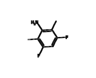 Cc1c(F)cc(F)c(C)c1N